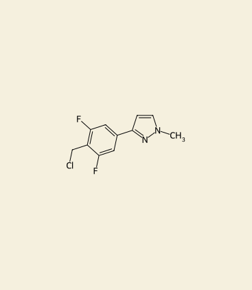 Cn1ccc(-c2cc(F)c(CCl)c(F)c2)n1